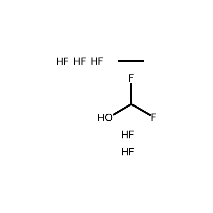 CC.F.F.F.F.F.OC(F)F